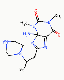 CCC(CC1=NC2(N)C(=N1)C(=O)N(C)C(=O)N2C)N1CCNCC1